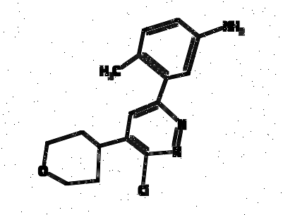 Cc1ccc(N)cc1-c1cc(C2CCOCC2)c(Cl)nn1